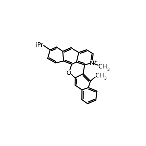 Cc1c2c(cc3ccccc13)Oc1c3ccc(C(C)C)cc3cc3cc[n+](C)c-2c13